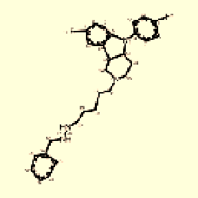 Fc1ccc(N2c3ccc(F)cc3C3CN(CCCCCNNCc4ccccc4)CCC32)cc1